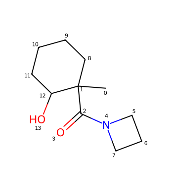 CC1(C(=O)N2CCC2)CCCCC1O